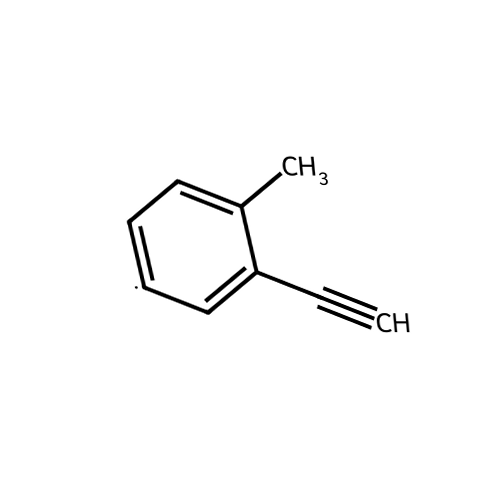 C#Cc1c[c]ccc1C